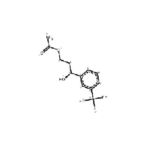 NC(=O)OCC[C@H](O)c1cccc(C(F)(F)F)c1